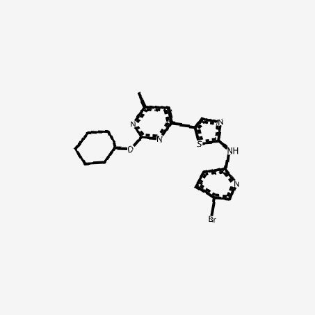 Cc1cc(-c2cnc(Nc3ccc(Br)cn3)s2)nc(OC2CCCCC2)n1